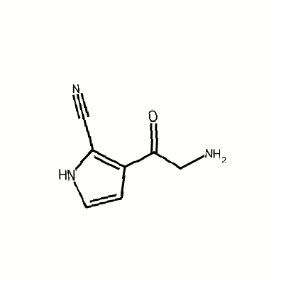 N#Cc1[nH]ccc1C(=O)CN